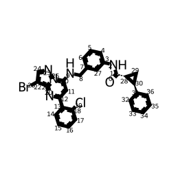 O=C(Nc1cccc(CNc2cc(-c3ccccc3Cl)nc3c(Br)cnn23)c1)[C@@H]1C[C@H]1c1ccccc1